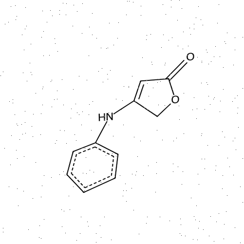 O=C1C=C(Nc2ccccc2)CO1